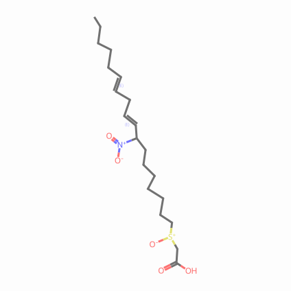 CCCCC/C=C/C/C=C/C(CCCCCCC[S+]([O-])CC(=O)O)[N+](=O)[O-]